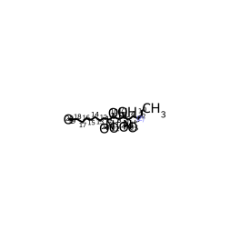 CC/C=C\CC(C(O)CC(O)C(CCCCCCC[C]=O)[N+](=O)[O-])[N+](=O)[O-]